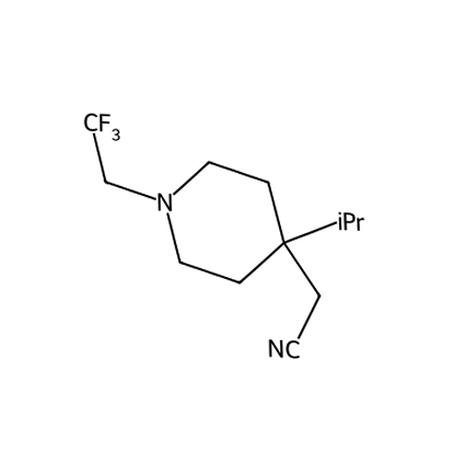 CC(C)C1(CC#N)CCN(CC(F)(F)F)CC1